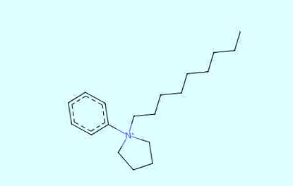 CCCCCCCCC[N+]1(c2ccccc2)CCCC1